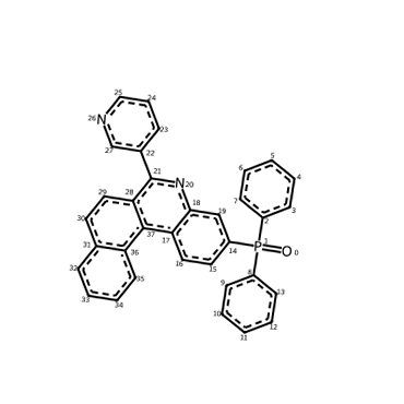 O=P(c1ccccc1)(c1ccccc1)c1ccc2c(c1)nc(-c1cccnc1)c1ccc3ccccc3c12